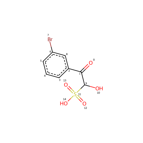 O=C(c1cccc(Br)c1)C(O)S(=O)(=O)O